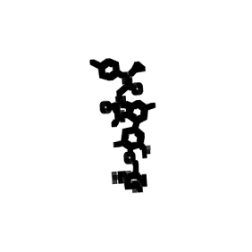 Cc1ccc(N(C(=O)Cn2c(=O)n(C)c3c(-c4cc(C)c(OCc5nnc[nH]5)c(F)c4)cc(C)cc32)C2CC2)cc1